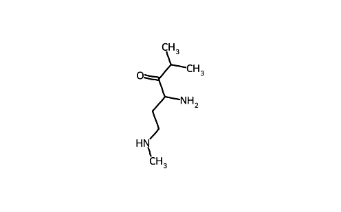 CNCCC(N)C(=O)C(C)C